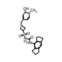 CN1C=CC(CN2CC(S(=O)(=O)NC(=O)Nc3c4c(cc5c3CCC5)CCC4)C2)=CC1O